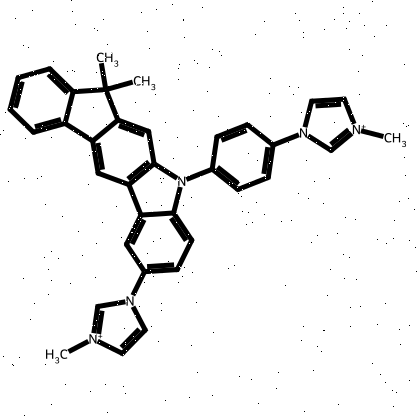 C[n+]1ccn(-c2ccc(-n3c4ccc(-n5cc[n+](C)c5)cc4c4cc5c(cc43)C(C)(C)c3ccccc3-5)cc2)c1